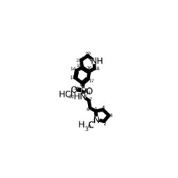 CN1CCCC1CCNS(=O)(=O)c1ccc2c(c1)CNCC2.Cl